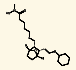 CN(O)C(=O)CCCCSC[C@@H]1[C@H](CCOC2CCCCC2)[C@@H]2CC[C@H]1O2